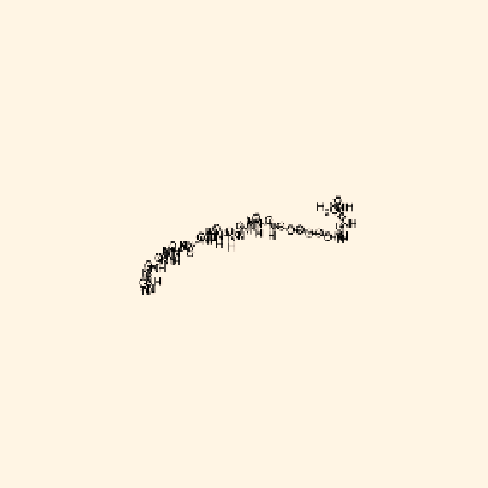 CN1CC(NC(=O)c2nc(NC(=O)CCNC(=O)c3cc(NC(=O)c4nccn4C)cn3C)cn2C)CC1C(=O)NCCCC(=O)Nc1cn(C)c(C(=O)NCCC(=O)NC2CC(C(=O)Nc3cn(C)c(C(=O)NCCC(=O)NCCOCCOCCOCCOCCOCCOCCn4cc(CC(=O)Nc5ccc(C(=O)Nc6ccccc6N)cc5)nn4)n3)N(C)C2)n1